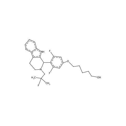 CC(C)(F)CN1CCc2c([nH]c3ccccc23)C1c1c(F)cc(OCCCCCO)cc1F